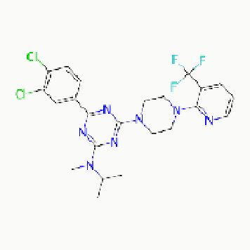 CC(C)N(C)c1nc(-c2ccc(Cl)c(Cl)c2)nc(N2CCN(c3ncccc3C(F)(F)F)CC2)n1